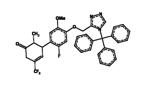 COc1cc(C2C=C(C(F)(F)F)CC(=O)C2C)c(F)cc1OCc1nncn1C(c1ccccc1)(c1ccccc1)c1ccccc1